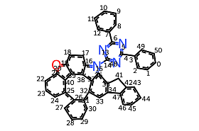 c1ccc(-c2nc(-c3ccccc3)nc(-n3c4ccc5oc6cccc7c8ccccc8c8cc9c(c3c8c4c5c67)Cc3ccccc3-9)n2)cc1